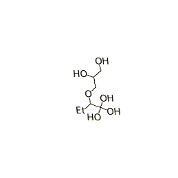 CCC(OCC(O)CO)C(O)(O)O